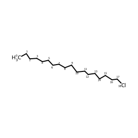 CCCCCCCCCCCCCCCCCCCl